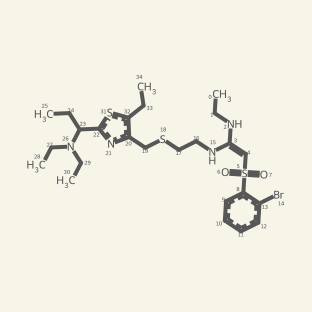 CCN/C(=C/S(=O)(=O)c1ccccc1Br)NCCSCc1nc(C(CC)N(CC)CC)sc1CC